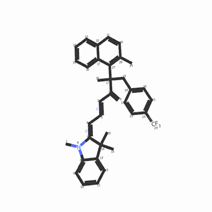 C=C(/C=C/C=C1/N(C)c2ccccc2C1(C)C)C(C)(Cc1ccc(C(F)(F)F)cc1)c1c(C)ccc2ccccc12